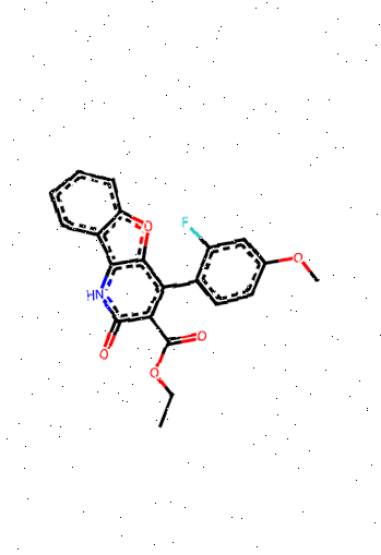 CCOC(=O)c1c(-c2ccc(OC)cc2F)c2oc3ccccc3c2[nH]c1=O